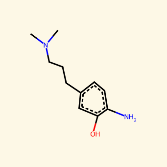 CN(C)CCCc1ccc(N)c(O)c1